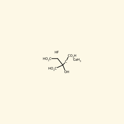 F.O=C(O)CC(O)(CC(=O)O)C(=O)O.[GaH3]